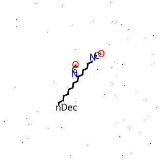 CCCCCCCCCCCCCCCCCCC(CCCCCN=C=O)N=C=O